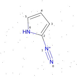 N#[N+]c1ccc[nH]1